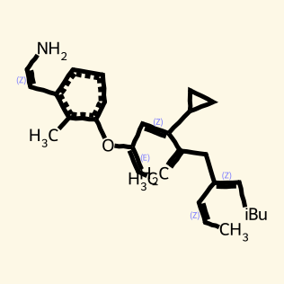 C=C(CC(/C=C\C)=C/C(C)CC)/C(=C\C(=C/C)Oc1cccc(/C=C\N)c1C)C1CC1